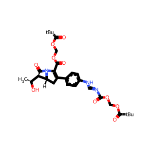 C[C@@H](O)[C@H]1C(=O)N2C(C(=O)OCOC(=O)C(C)(C)C)=C(c3ccc(N/C=N/C(=O)OCOC(=O)C(C)(C)C)cc3)C[C@H]12